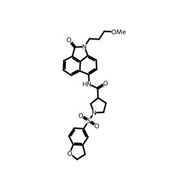 COCCCN1C(=O)c2cccc3c(NC(=O)C4CCN(S(=O)(=O)c5ccc6c(c5)CCO6)C4)ccc1c23